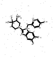 NC1CN(c2nc3cc(F)c(F)cc3n2Cc2ccc(F)cn2)CCC1(F)F